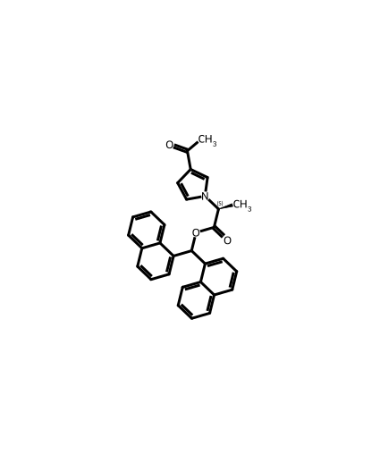 CC(=O)c1ccn([C@@H](C)C(=O)OC(c2cccc3ccccc23)c2cccc3ccccc23)c1